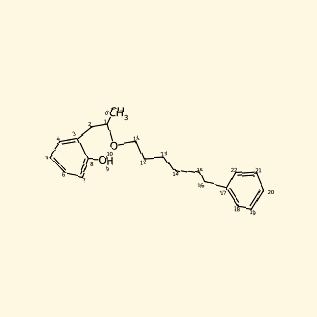 CC(Cc1ccccc1O)OCCCCCCc1ccccc1